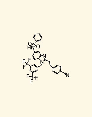 N#Cc1ccc(CCc2nc3cc(NS(=O)(=O)c4ccccc4)ccc3n2Cc2cc(C(F)(F)F)cc(C(F)(F)F)c2)cc1